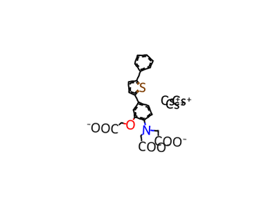 O=C([O-])COc1cc(-c2ccc(-c3ccccc3)s2)ccc1N(CC(=O)[O-])CC(=O)[O-].[Cs+].[Cs+].[Cs+]